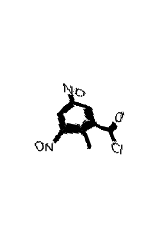 Cc1c(N=O)cc(N=O)cc1C(=O)Cl